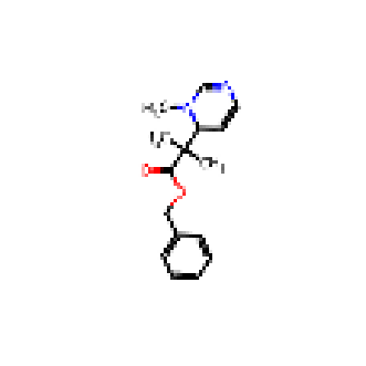 CN1C=NC=CC1C(C)(C)C(=O)OCc1ccccc1